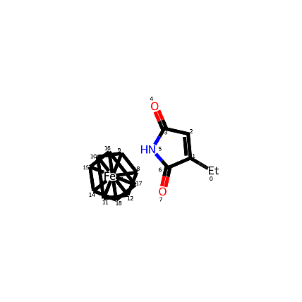 CCC1=CC(=O)NC1=O.[CH]12[CH]3[CH]4[CH]5[CH]1[Fe]23451678[CH]2[CH]1[CH]6[CH]7[CH]28